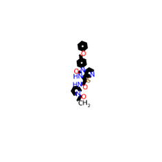 C=CC(=O)N1CCCC(NC(=O)c2sc3nccc4c3c2NC(=O)N4c2ccc(COc3ccccc3)cc2)C1